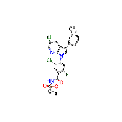 CS(=O)(=O)NC(=O)c1cc(Cl)c(-n2cc(-c3cccc(C(F)(F)F)c3)c3cc(Cl)cnc32)cc1F